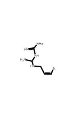 CC/C=C\CNC(N)NC(=N)NC